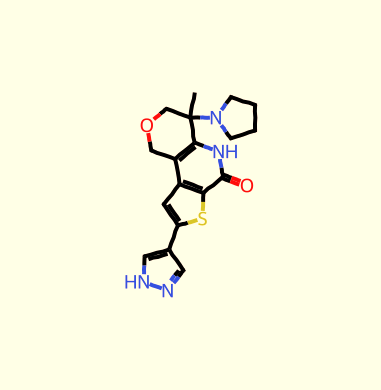 CC1(N2CCCC2)COCc2c1[nH]c(=O)c1sc(-c3cn[nH]c3)cc21